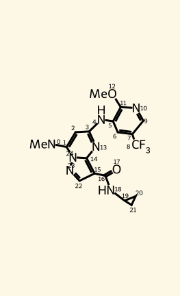 CNc1cc(Nc2cc(C(F)(F)F)cnc2OC)nc2c(C(=O)NC3CC3)cnn12